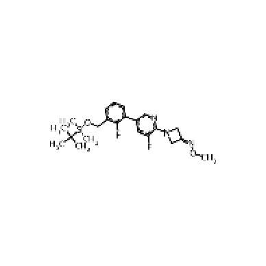 CON=C1CN(c2ncc(-c3cccc(CO[Si](C)(C)C(C)(C)C)c3F)cc2F)C1